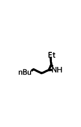 CCCCCCC1NC1CC